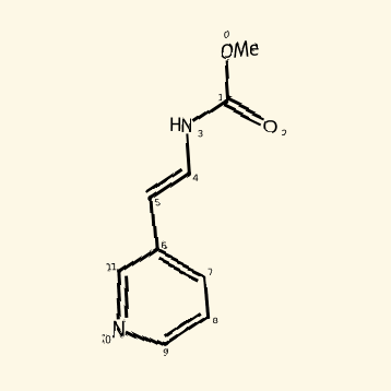 COC(=O)N/C=C/c1cccnc1